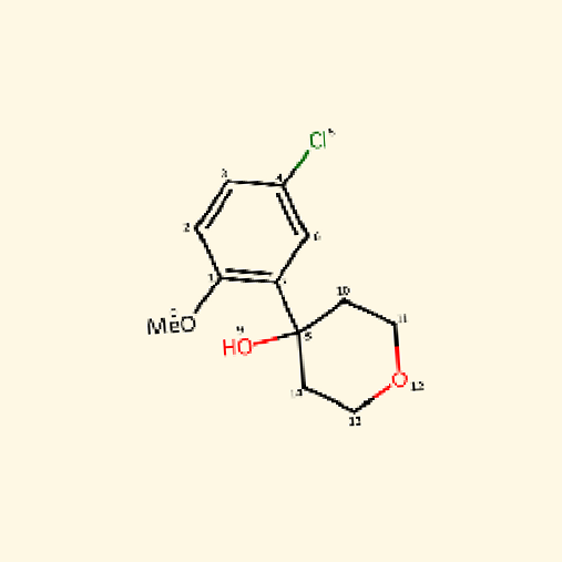 COc1ccc(Cl)cc1C1(O)CCOCC1